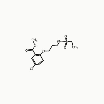 CCS(=O)(=O)NCCCOc1ccc(Cl)cc1C(=O)OC